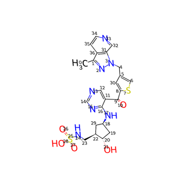 Cc1nn(Cc2csc(C(=O)c3cncnc3N[C@H]3C[C@H](O)[C@@H]([CH]NS(=O)(=O)O)C3)c2)c2cnccc12